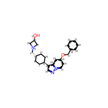 OC1CN(C[C@H]2CC[C@H](c3cnn4ccc(OCc5ccccc5)cc34)CC2)C1